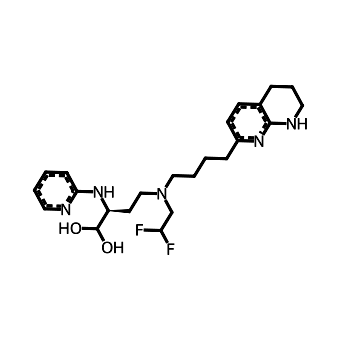 OC(O)[C@H](CCN(CCCCc1ccc2c(n1)NCCC2)CC(F)F)Nc1ccccn1